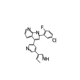 C/C=C(\C=N)c1cncc(-c2cc(-c3cc(Cl)ccc3F)nc3ncccc23)c1